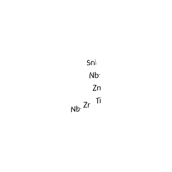 [Nb].[Nb].[Sn].[Ti].[Zn].[Zr]